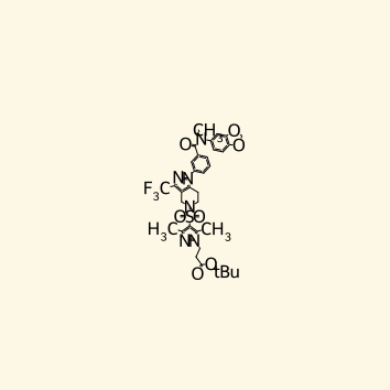 Cc1nn(CCC(=O)OC(C)(C)C)c(C)c1S(=O)(=O)N1CCc2c(c(C(F)(F)F)nn2-c2cccc(C(=O)N(C)c3ccc4c(c3)OCO4)c2)C1